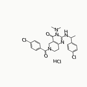 CC(Nc1nc2c(c(=O)n1N(C)C)CN(C(=O)c1ccc(Cl)cc1)CC2)c1ccc(Cl)cc1.Cl